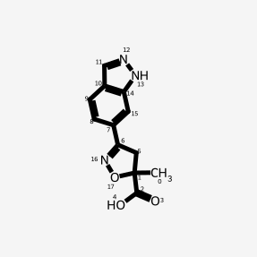 CC1(C(=O)O)CC(c2ccc3cn[nH]c3c2)=NO1